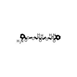 Nc1ccccc1C(=O)OCCOCCNC(=O)NCCOCCOC(=O)c1ccccc1N